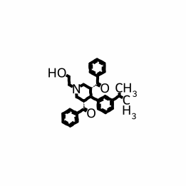 CC(C)c1cccc(C2[C@@H](C(=O)c3ccccc3)CN(CCO)C[C@H]2C(=O)c2ccccc2)c1